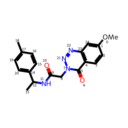 COc1ccc2c(=O)n(CC(=O)NC(C)c3ccc(C)cc3)nnc2c1